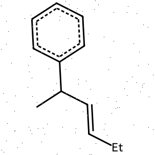 CCC=CC(C)c1ccccc1